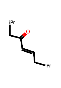 CC(C)CC=CC(=O)CC(C)C